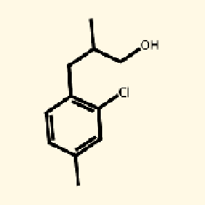 Cc1ccc(CC(C)CO)c(Cl)c1